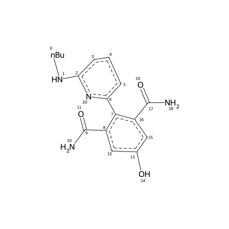 CCCCNc1cccc(-c2c(C(N)=O)cc(O)cc2C(N)=O)n1